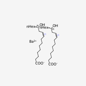 CCCCCC[C@@H](O)C/C=C\CCCCCCCC(=O)[O-].CCCCCC[C@@H](O)C/C=C\CCCCCCCC(=O)[O-].[Ba+2]